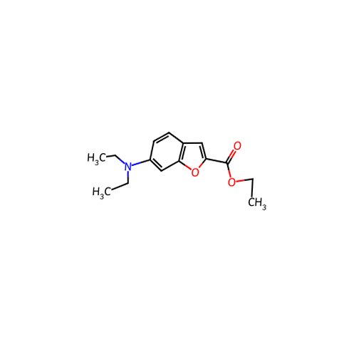 CCOC(=O)c1cc2ccc(N(CC)CC)cc2o1